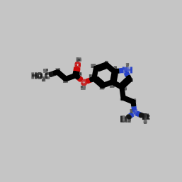 CCN(CC)CCc1c[nH]c2ccc(OC(=O)CCC(=O)O)cc12